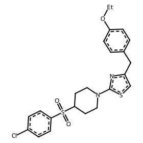 CCOc1ccc(Cc2csc(N3CCC(S(=O)(=O)c4ccc(Cl)cc4)CC3)n2)cc1